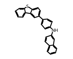 c1ccc2cc(Nc3ccc(-c4ccc5sc6ccccc6c5c4)cc3)ccc2c1